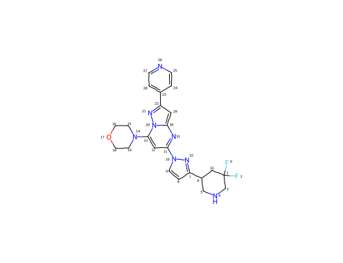 FC1(F)CNCC(c2ccn(-c3cc(N4CCOCC4)n4nc(-c5ccncc5)cc4n3)n2)C1